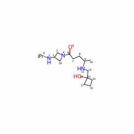 CC(C)NC1CN(C(=O)CCC(C)NCC2(O)CCC2)C1